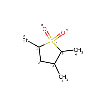 CCC1CC(C)C(C)S1(=O)=O